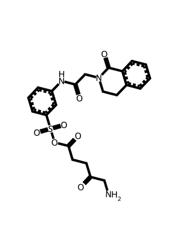 NCC(=O)CCC(=O)OS(=O)(=O)c1cccc(NC(=O)CN2CCc3ccccc3C2=O)c1